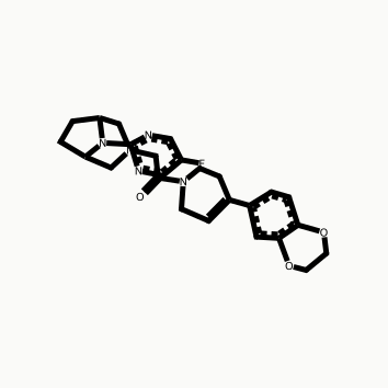 O=C(CN1CC2CCC(C1)N2c1ncc(F)cn1)N1CC=C(c2ccc3c(c2)OCCO3)CC1